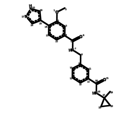 COc1cc(C(=O)NCc2cccc(C(=O)NC3(C)CC3)c2)ccc1-c1cn[nH]c1